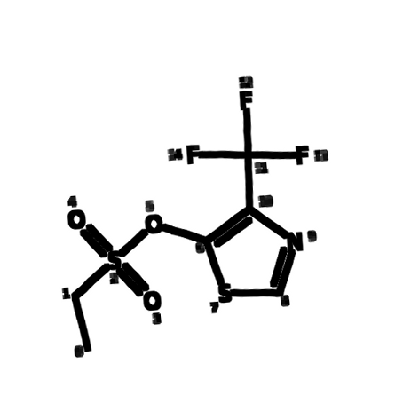 CCS(=O)(=O)Oc1scnc1C(F)(F)F